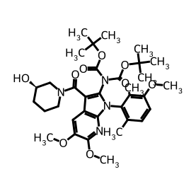 COc1cc2c(C(=O)N3CCC[C@@H](O)C3)c(N(C(=O)OC(C)(C)C)C(=O)OC(C)(C)C)n(-c3c(C)ccc(OC)c3C)c2nc1OC